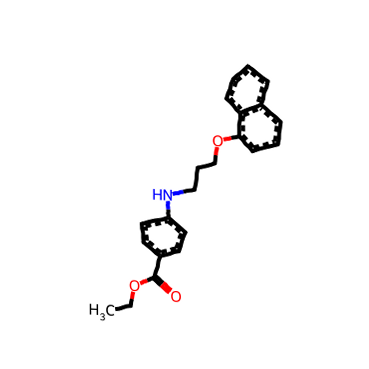 CCOC(=O)c1ccc(NCCCOc2cccc3ccccc23)cc1